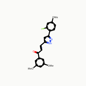 COc1cc(OC)cc(C(=O)/C=C/c2cc(-c3ccc(OC)cc3F)n[nH]2)c1